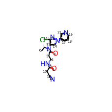 CCN(C(=O)CCNC(=O)CC#N)c1cn(-c2cccnc2)nc1Cl